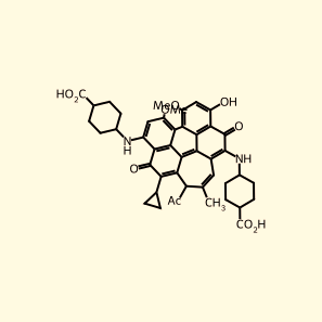 COc1cc(O)c2c(=O)c(NC3CCC(C(=O)O)CC3)c3c4c5c(c(C6CC6)c(=O)c6c(NC7CCC(C(=O)O)CC7)cc(OC)c(c1c24)c65)C(C(C)=O)C(C)=C3